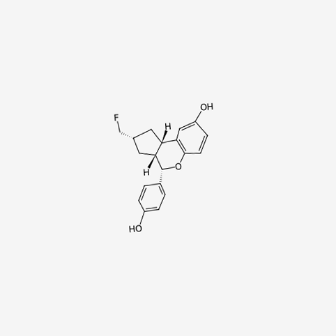 Oc1ccc([C@H]2Oc3ccc(O)cc3[C@H]3C[C@@H](CF)C[C@H]32)cc1